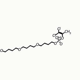 CC(OP(=O)(O)OCCCCOCCCCOCCCCO)=C(Cl)Cl